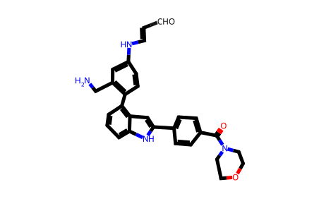 NCc1cc(NC=CC=O)ccc1-c1cccc2[nH]c(-c3ccc(C(=O)N4CCOCC4)cc3)cc12